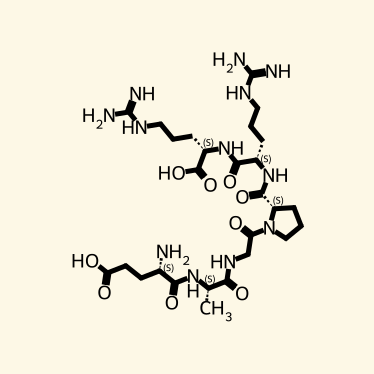 C[C@H](NC(=O)[C@@H](N)CCC(=O)O)C(=O)NCC(=O)N1CCC[C@H]1C(=O)N[C@@H](CCCNC(=N)N)C(=O)N[C@@H](CCCNC(=N)N)C(=O)O